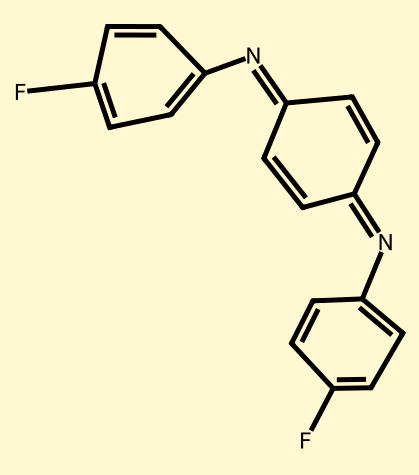 Fc1ccc(N=C2C=CC(=Nc3ccc(F)cc3)C=C2)cc1